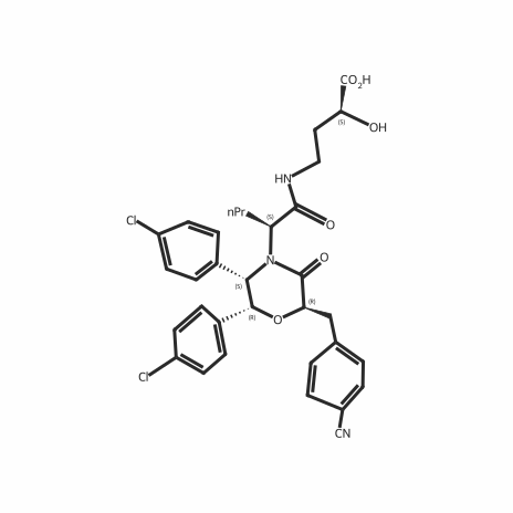 CCC[C@@H](C(=O)NCC[C@H](O)C(=O)O)N1C(=O)[C@@H](Cc2ccc(C#N)cc2)O[C@H](c2ccc(Cl)cc2)[C@@H]1c1ccc(Cl)cc1